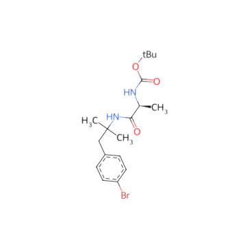 C[C@H](NC(=O)OC(C)(C)C)C(=O)NC(C)(C)Cc1ccc(Br)cc1